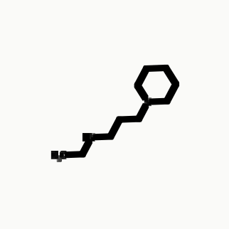 CCNCCCN1CCCCC1